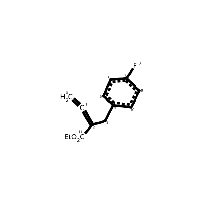 C=C=C(Cc1ccc(F)cc1)C(=O)OCC